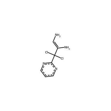 NC=C(N)C(Cl)(Cl)c1ncccn1